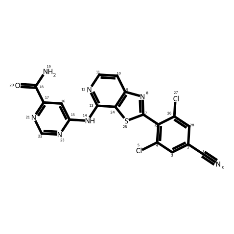 N#Cc1cc(Cl)c(-c2nc3ccnc(Nc4cc(C(N)=O)ncn4)c3s2)c(Cl)c1